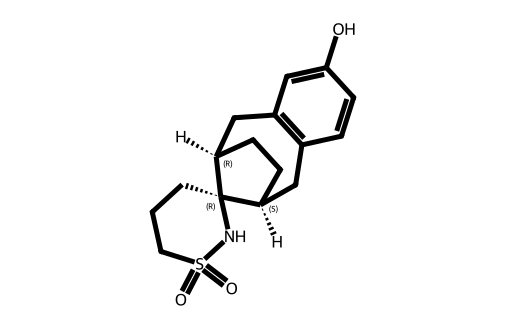 O=S1(=O)CCC[C@]2(N1)[C@@H]1CC[C@H]2Cc2ccc(O)cc2C1